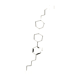 CCCCCc1ccc(C2CCC([C@H]3CC[C@H](CCCC)CC3)CC2)nc1